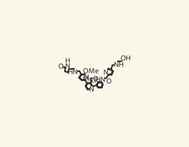 COc1nc(-c2ccnc(-c3cccc(NC(=O)c4ccc(CNCCO)cn4)c3OC)c2Cl)ccc1CNCC1CCC(=O)N1